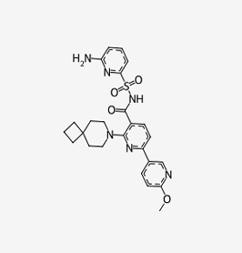 COc1ccc(-c2ccc(C(=O)NS(=O)(=O)c3cccc(N)n3)c(N3CCC4(CCC4)CC3)n2)cn1